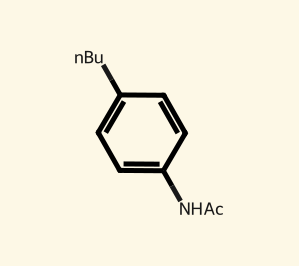 [CH2]CCCc1ccc(NC(C)=O)cc1